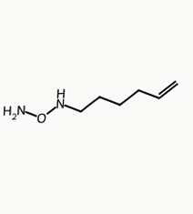 C=CCCCCNON